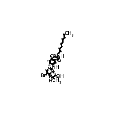 CCCCCCCCCCNS(=O)(=O)c1cc(Nc2ncc(Br)c(N[C@H](C)CO)n2)ccc1C